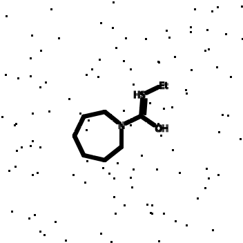 CC[SH]=C(O)N1CCCCCC1